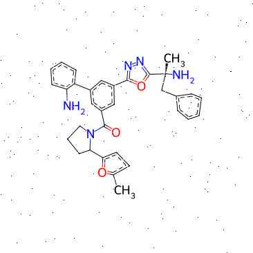 Cc1ccc(C2CCCN2C(=O)c2cc(-c3nnc([C@](C)(N)Cc4ccccc4)o3)cc(-c3ccccc3N)c2)o1